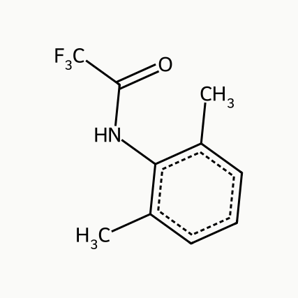 Cc1cccc(C)c1NC(=O)C(F)(F)F